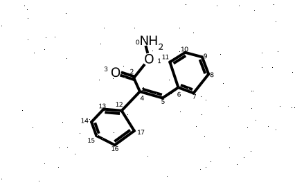 NOC(=O)C(=Cc1ccccc1)c1ccccc1